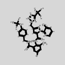 Cc1cc(F)cc(C(=O)NCc2ccc(OC(F)(F)F)cc2)c1NC(=O)c1cc(Cn2nnc(C(F)(F)F)n2)nn1-c1ncccc1Cl